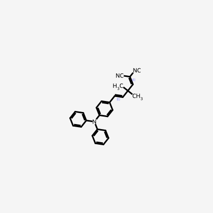 [C-]#[N+]/C(C#N)=C/C(C)(C)/C=C/c1ccc(N(c2ccccc2)c2ccccc2)cc1